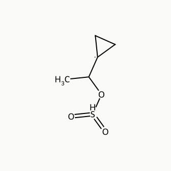 CC(O[SH](=O)=O)[C]1CC1